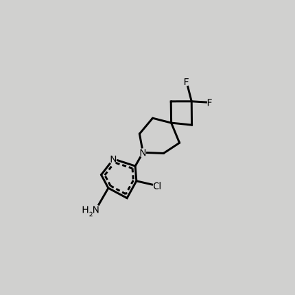 Nc1cnc(N2CCC3(CC2)CC(F)(F)C3)c(Cl)c1